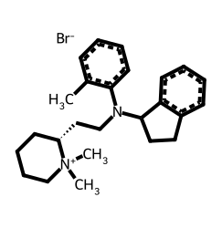 Cc1ccccc1N(CC[C@H]1CCCC[N+]1(C)C)C1CCc2ccccc21.[Br-]